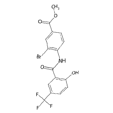 COC(=O)c1ccc(NC(=O)c2cc(C(F)(F)F)ccc2O)c(Br)c1